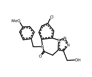 COc1ccc(CN2C(=O)Cc3c(CO)nnn3-c3cc(Cl)ccc32)cc1